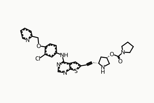 O=C(O[C@@H]1CN[C@H](C#Cc2cc3c(Nc4ccc(OCc5ccccn5)c(Cl)c4)ncnc3s2)C1)N1CCCC1